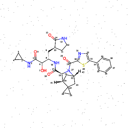 O=C(NC1CC1)C(O)[C@H](C[C@@H]1CCNC1=O)NC(=O)[C@@H]1[C@@H]2C[C@@H](CC23CC3)N1C(=O)c1ncc(-c2ccccc2)s1